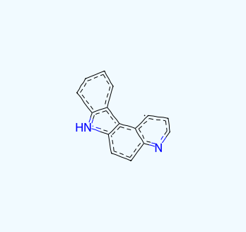 [c]1ccnc2ccc3[nH]c4ccccc4c3c12